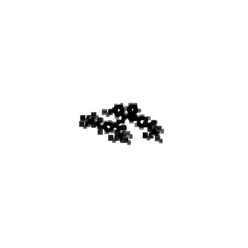 Cc1cccc(C(CCN(C(=O)OC(C)(C)C)C2CCC(NC(=O)OC(C)(C)C)CC2)c2cn(C3CCN(C(=O)OC(C)(C)C)CC3)c3ccccc23)c1